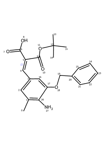 Cc1cc(/C=C(/C(=O)O)C(=O)OC(C)(C)C)cc(OCc2ccccc2)c1N